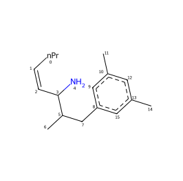 CCC/C=C\C(N)C(C)Cc1cc(C)cc(C)c1